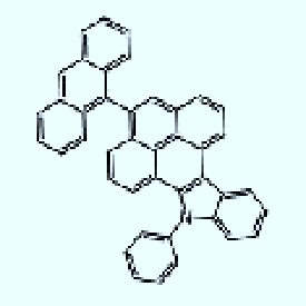 c1ccc(-n2c3ccccc3c3c4cccc5cc(-c6c7ccccc7cc7ccccc67)c6cccc(c6c54)c32)cc1